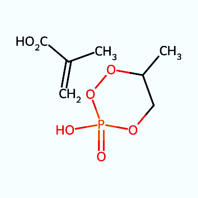 C=C(C)C(=O)O.CC1COP(=O)(O)OO1